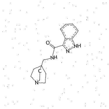 O=C(NCC12CCN(CC1)CC2)c1n[nH]c2ccccc12